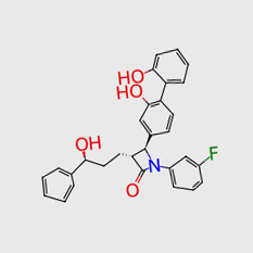 O=C1[C@H](CC[C@H](O)c2ccccc2)[C@@H](c2ccc(-c3ccccc3O)c(O)c2)N1c1cccc(F)c1